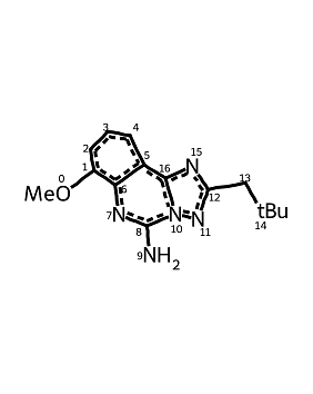 COc1cccc2c1nc(N)n1nc(CC(C)(C)C)nc21